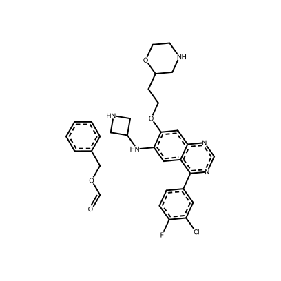 Fc1ccc(-c2ncnc3cc(OCCC4CNCCO4)c(NC4CNC4)cc23)cc1Cl.O=COCc1ccccc1